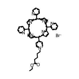 CCOC(=O)CCCC[n+]1ccc(-c2c3nc(c(-c4ccccn4)c4ccc([nH]4)c(-c4ccccn4)c4nc(c(-c5ccccn5)c5ccc2[nH]5)C=C4)C=C3)cc1.[Br-]